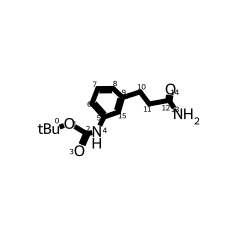 CC(C)(C)OC(=O)Nc1cccc(CCC(N)=O)c1